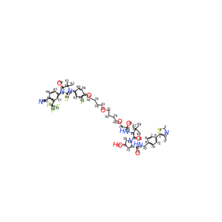 Cc1ncsc1-c1ccc(CNC(=O)[C@@H]2C[C@@H](O)CN2C(=O)C(NC(=O)COCCCCOCCCCOc2ccc(N3C(=S)N(c4ccc(C#N)c(C(F)(F)F)c4)C(=O)C3(C)C)cc2F)C(C)(C)C)cc1